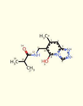 Cc1cc2nncn2c(O)c1CNC(=O)C(C)C